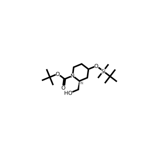 CC(C)(C)OC(=O)N1CCC(O[Si](C)(C)C(C)(C)C)C[C@H]1CO